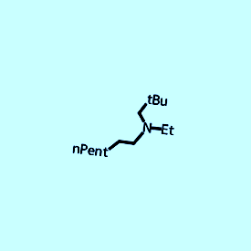 CCCCCCCN(CC)CC(C)(C)C